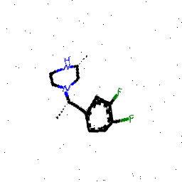 C[C@@H]1CN([C@@H](C)c2ccc(F)c(F)c2)CCN1